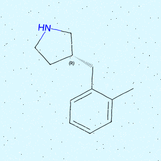 Cc1ccccc1C[C@@H]1CCNC1